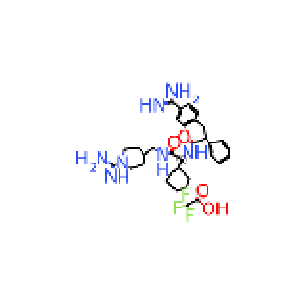 N=C(N)c1ccc(CC(C(=O)N[C@H](C(=O)NCC2CCN(C(=N)N)CC2)C2CCCCC2)c2ccccc2)cc1.O=C(O)C(F)(F)F